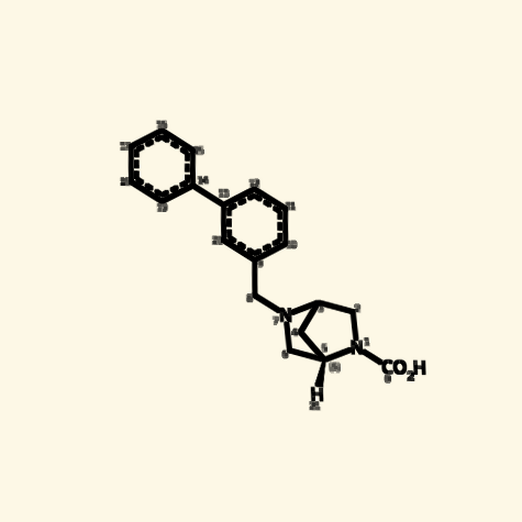 O=C(O)N1CC2C[C@H]1CN2Cc1cccc(-c2ccccc2)c1